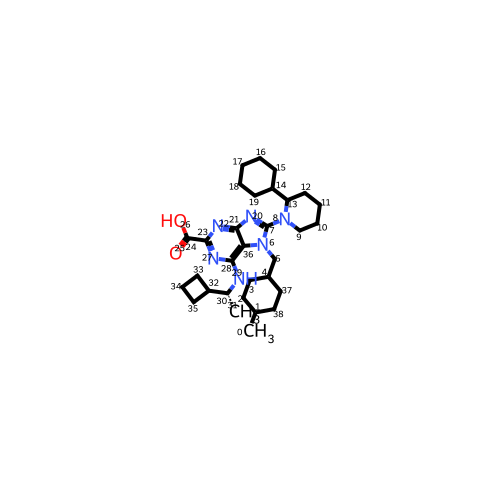 CC1CCC(Cn2c(N3CCCCC3C3CCCCC3)nc3nc(C(=O)O)nc(N[C@H](C)C4CCC4)c32)CC1